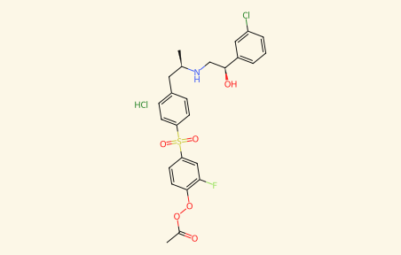 CC(=O)OOc1ccc(S(=O)(=O)c2ccc(C[C@@H](C)NC[C@H](O)c3cccc(Cl)c3)cc2)cc1F.Cl